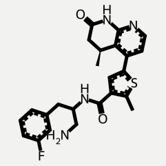 Cc1sc(-c2ccnc3c2[C@@H](C)CC(=O)N3)cc1C(=O)NC(CN)Cc1cccc(F)c1